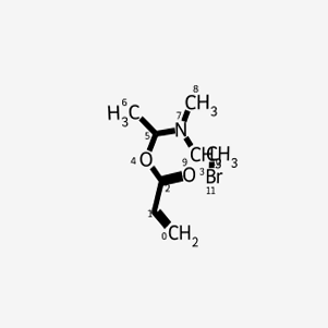 C=CC(=O)OC(C)N(C)C.CBr